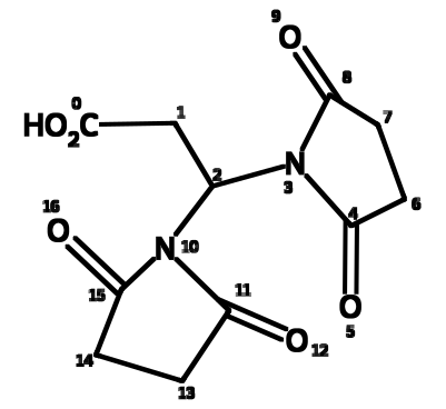 O=C(O)CC(N1C(=O)CCC1=O)N1C(=O)CCC1=O